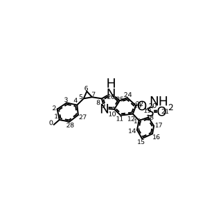 Cc1ccc(C2CC2c2nc3cc(-c4ccccc4S(N)(=O)=O)ccc3[nH]2)cc1